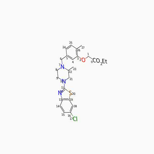 CCOC(=O)COc1cc(CN2CCN(c3nc4ccc(Cl)cc4s3)CC2C)ccc1C